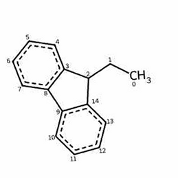 CCC1c2ccccc2-c2ccccc21